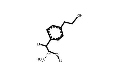 CCO[C@H](C(=O)O)C(CC)c1ccc(CCO)cc1